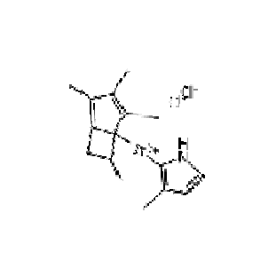 CC1=C(C)[C]2([Zr+2][c]3[nH]ccc3C)C(=C1C)CC2C.[Cl-].[Cl-]